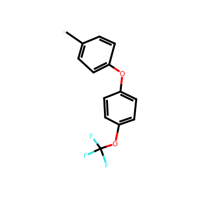 [CH2]c1ccc(Oc2ccc(OC(F)(F)F)cc2)cc1